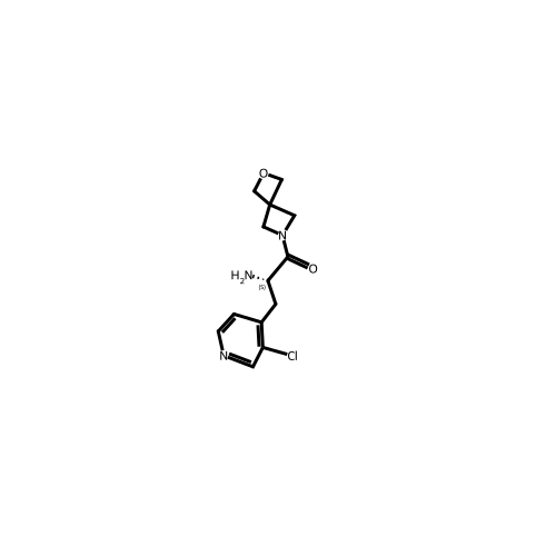 N[C@@H](Cc1ccncc1Cl)C(=O)N1CC2(COC2)C1